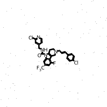 O=C(NCc1ccnc(Cl)c1)n1c2c(c3c(F)cc(C(F)(F)F)cc31)CN(CC=Cc1ccc(Cl)cc1)CC2